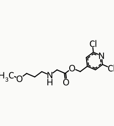 COCCCNCC(=O)OCc1cc(Cl)nc(Cl)c1